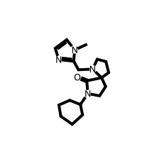 Cn1ccnc1CN1CCCC12CCN(C1CCCCC1)C2=O